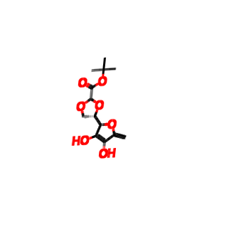 C=C1O[C@H]([C@@H]2COC(C(=O)OC(C)(C)C)O2)C(O)=C1O